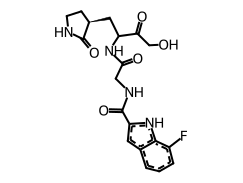 O=C(CNC(=O)c1cc2cccc(F)c2[nH]1)NC(C[C@@H]1CCNC1=O)C(=O)CO